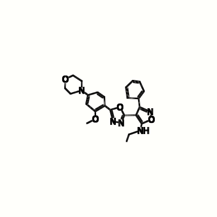 CCNc1onc(-c2ccccc2)c1-c1nnc(-c2ccc(N3CCOCC3)cc2OC)o1